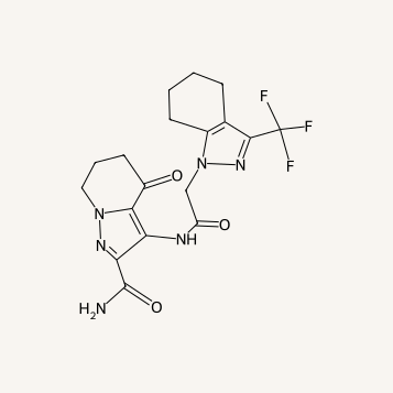 NC(=O)c1nn2c(c1NC(=O)Cn1nc(C(F)(F)F)c3c1CCCC3)C(=O)CCC2